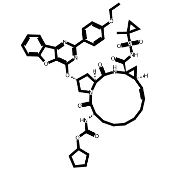 CCOc1ccc(-c2nc(O[C@@H]3C[C@H]4C(=O)N[C@]5(C(=O)NS(=O)(=O)C6(C)CC6)C[C@H]5/C=C\CCCCC[C@H](NC(=O)OC5CCCC5)C(=O)N4C3)c3oc4ccccc4c3n2)cc1